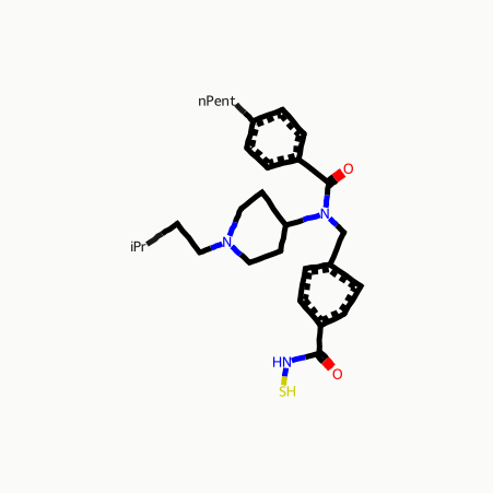 CCCCCc1ccc(C(=O)N(Cc2ccc(C(=O)NS)cc2)C2CCN(CCC(C)C)CC2)cc1